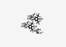 CCO[PH](O)(O)Cc1cc(C(C)(C)C)c(O)c(C(C)(C)C)c1.CCO[PH](O)(O)Cc1cc(C(C)(C)C)c(O)c(C(C)(C)C)c1.[Ca+2].[O-]P([O-])O